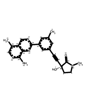 Cc1cc(C#C[C@]2(O)CCN(C)C2=O)cc(-c2ncc3c(C)cnc(N)c3n2)c1